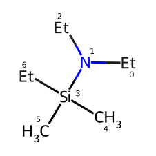 CCN(CC)[Si](C)(C)CC